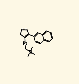 C[Si](C)(C)[CH2][Pt][C]1=C(c2ccc3ccccc3c2)C=CC1